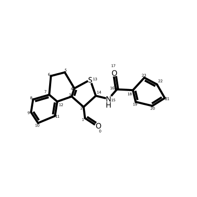 O=CC1C2=C(CCc3ccccc32)SC1NC(=O)c1ccccc1